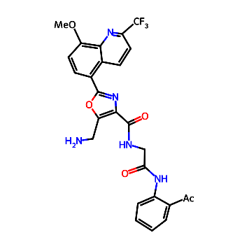 COc1ccc(-c2nc(C(=O)NCC(=O)Nc3ccccc3C(C)=O)c(CN)o2)c2ccc(C(F)(F)F)nc12